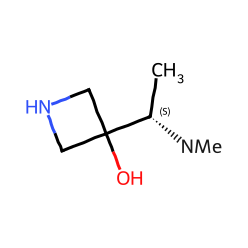 CN[C@@H](C)C1(O)CNC1